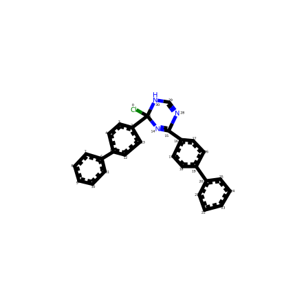 ClC1(c2ccc(-c3ccccc3)cc2)N=C(c2ccc(-c3ccccc3)cc2)N=CN1